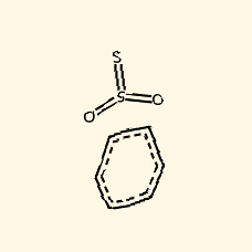 O=S(=O)=S.c1ccccc1